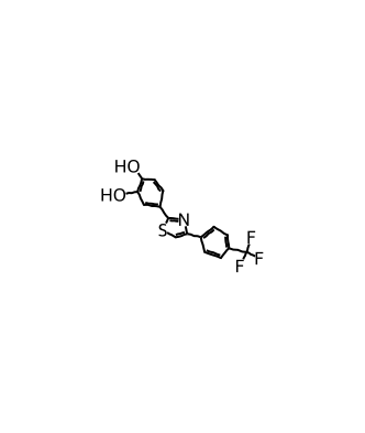 Oc1ccc(-c2nc(-c3ccc(C(F)(F)F)cc3)cs2)cc1O